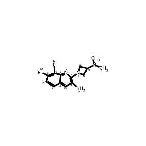 CN(C)C1CN(c2nc3c(F)c(Br)ccc3cc2N)C1